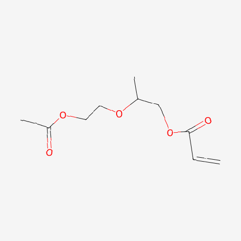 C=CC(=O)OCC(C)OCCOC(C)=O